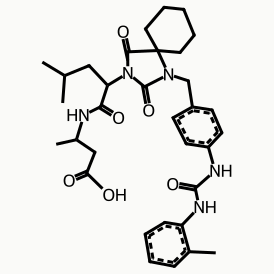 Cc1ccccc1NC(=O)Nc1ccc(CN2C(=O)N(C(CC(C)C)C(=O)NC(C)CC(=O)O)C(=O)C23CCCCC3)cc1